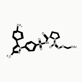 CC(=O)OCO/N=[N+](/[O-])N1CCC[C@H]1C(=O)NS(=O)(=O)c1ccc(-n2nc(C(F)(F)F)cc2-c2ccc(C)cc2)cc1